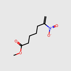 C=C(CCCCC(=O)OC)[N+](=O)[O-]